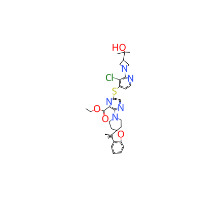 CCOC(=O)c1nc(Sc2ccnc(N3CC(C(C)(C)O)C3)c2Cl)cnc1N1CCC2(CC1)Oc1ccccc1[C@H]2C